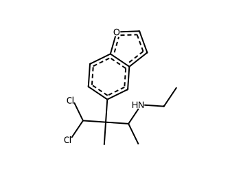 CCNC(C)C(C)(c1ccc2occc2c1)C(Cl)Cl